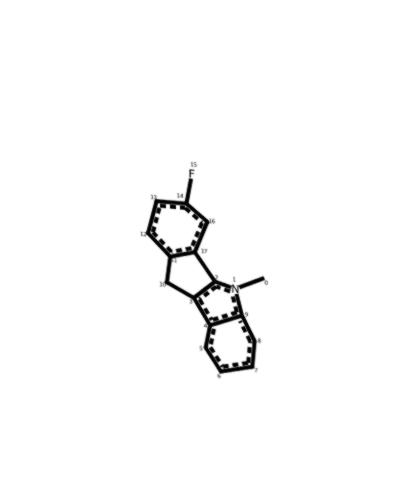 Cn1c2c(c3ccccc31)Cc1ccc(F)cc1-2